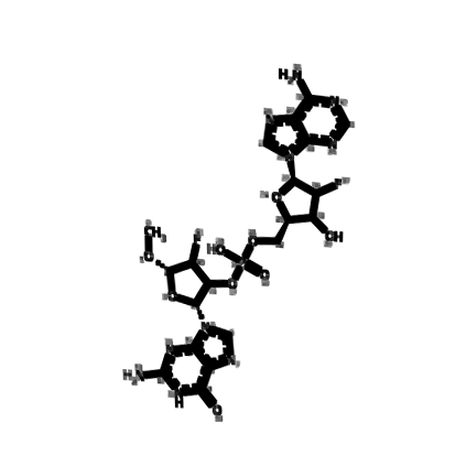 CO[C@H]1O[C@@H](n2cnc3c(=O)[nH]c(N)nc32)C(OP(=O)(O)OC[C@H]2O[C@@H](n3cnc4c(N)ncnc43)C(F)C2O)C1F